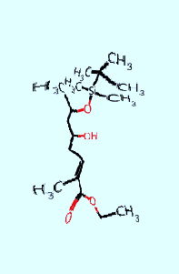 CCOC(=O)C(C)=CCC(O)CC(C)O[Si](C)(C)C(C)(C)C